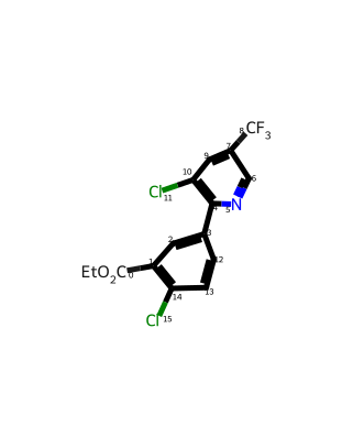 CCOC(=O)c1cc(-c2ncc(C(F)(F)F)cc2Cl)ccc1Cl